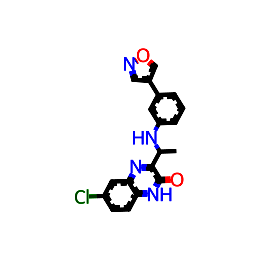 CC(Nc1cccc(-c2cnoc2)c1)c1nc2cc(Cl)ccc2[nH]c1=O